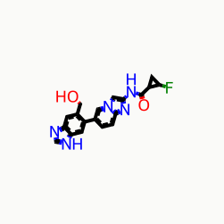 O=C(Nc1cn2cc(-c3cc4[nH]cnc4cc3CO)ccc2n1)C1CC1F